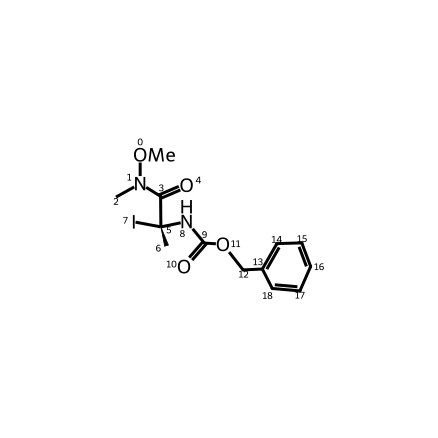 CON(C)C(=O)[C@@](C)(I)NC(=O)OCc1ccccc1